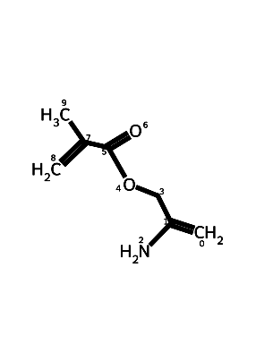 C=C(N)COC(=O)C(=C)C